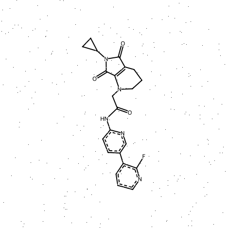 O=C(CN1CCCC2=C1C(=O)N(C1CC1)C2=O)Nc1ccc(-c2cccnc2F)cn1